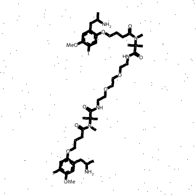 COc1cc(CC(C)N)c(OCCCC(=O)N(C)C(C)(C)C(=O)NCCOCCOCCNC(=O)C(C)(C)N(C)C(=O)CCCOc2cc(I)c(OC)cc2CC(C)N)cc1I